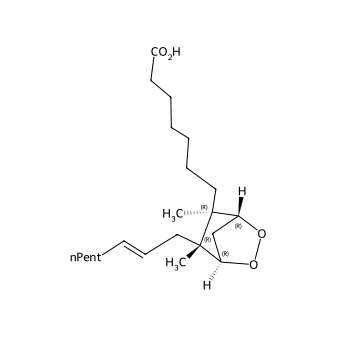 CCCCCC=CC[C@@]1(C)[C@H]2C[C@@H](OO2)[C@]1(C)CCCCCCC(=O)O